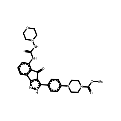 CC(C)(C)OC(=O)N1CCN(c2ccc(-c3[nH]nc4c3C(=O)c3c(NC(=O)NN5CCOCC5)cccc3-4)cc2)CC1